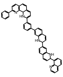 C1=Cc2ccc(-c3ccccc3)nc2C2NC(c3cccc(-c4ccc5c(c4)NC(c4ccc6c(c4)NC(c4cccc7cccnc47)C=C6)C=C5)c3)=CC=C12